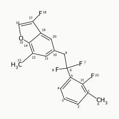 Cc1cccc(C(F)(F)Cc2cc(C)c3occ(F)c3c2)c1F